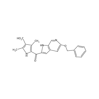 Cc1[nH]c(C(=O)c2cc3cc(OCc4ccccc4)ncc3[nH]2)c(C)c1C(=O)O